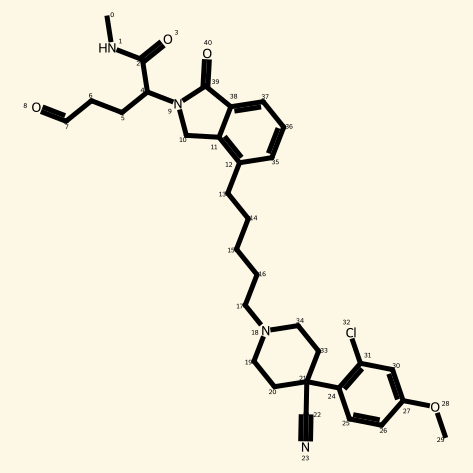 CNC(=O)C(CCC=O)N1Cc2c(CCCCCN3CCC(C#N)(c4ccc(OC)cc4Cl)CC3)cccc2C1=O